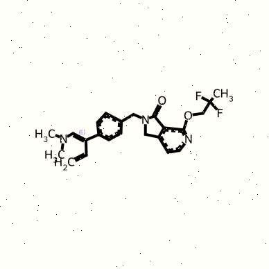 C=C/C(=C\N(C)C)c1ccc(CN2Cc3ccnc(OCC(C)(F)F)c3C2=O)cc1